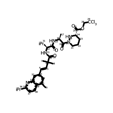 Cc1cc(/C=C/C(C)(C)C(=O)N[C@H](C(=O)N[C@@H](C)C(=O)N2CCC[C@@H](C(=O)OCC(Cl)(Cl)Cl)N2)C(C)C)cc2nc(C(C)C)ccc12